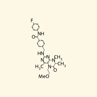 COCCN1C(=O)C(C)N(C)c2nc(NCc3ccc(C(=O)Nc4ccc(F)cc4)cc3)nc(C)c21